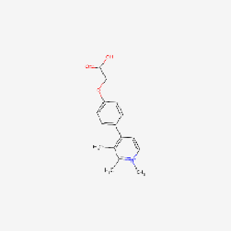 Cc1c(-c2ccc(OCC(=O)O)cc2)cc[n+](C)c1C